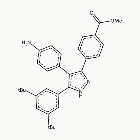 COC(=O)c1ccc(-c2n[nH]c(-c3cc(C(C)(C)C)cc(C(C)(C)C)c3)c2-c2ccc(N)cc2)cc1